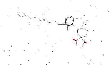 CCCCCCCCCCc1ccc(CN(C)C2CCC(C(=O)O)(C(=O)O)CC2)c(F)c1F